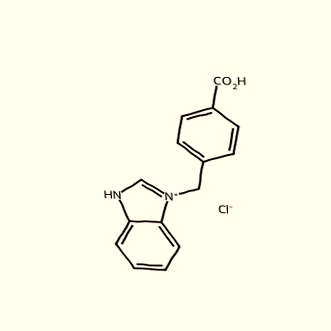 O=C(O)c1ccc(C[n+]2c[nH]c3ccccc32)cc1.[Cl-]